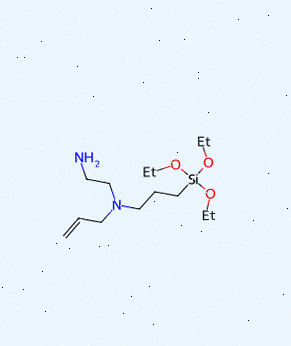 C=CCN(CCN)CCC[Si](OCC)(OCC)OCC